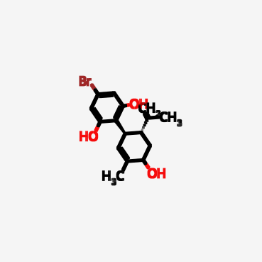 C=C(C)[C@@H]1CC(O)C(C)=C[C@H]1c1c(O)cc(Br)cc1O